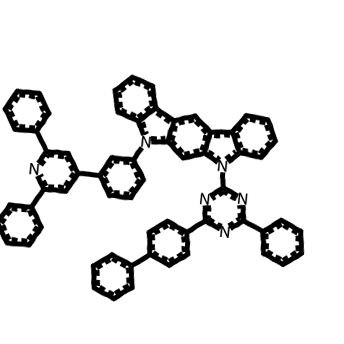 c1ccc(-c2ccc(-c3nc(-c4ccccc4)nc(-n4c5ccccc5c5cc6c7ccccc7n(-c7cccc(-c8cc(-c9ccccc9)nc(-c9ccccc9)c8)c7)c6cc54)n3)cc2)cc1